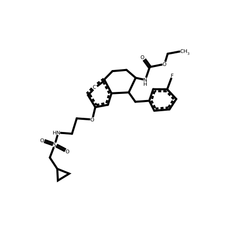 CCOC(=O)NC1CCc2ccc(OCCNS(=O)(=O)CC3CC3)cc2C1Cc1cccc(F)c1